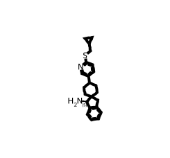 N[C@@H]1c2ccccc2CC12CCC(c1ccc(SCC3CC3)nc1)CC2